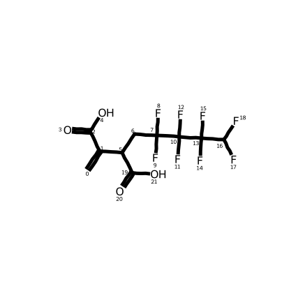 C=C(C(=O)O)C(CC(F)(F)C(F)(F)C(F)(F)C(F)F)C(=O)O